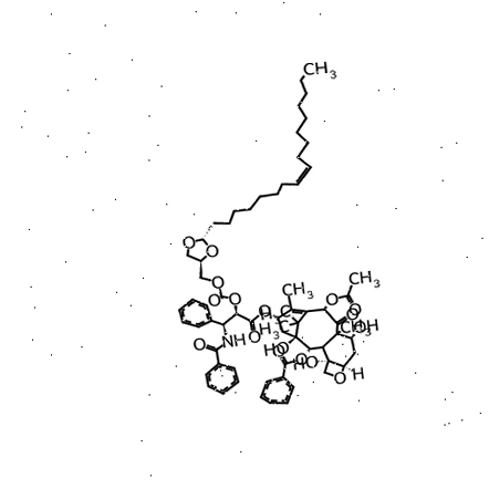 CCCCCCCC/C=C\CCCCCCC[C@H]1OC[C@H](COC(=O)O[C@@H](C(=O)O[C@H]2C[C@@]3(O)[C@@H](OC(=O)c4ccccc4)C4[C@]5(O)CO[C@@H]5C[C@H](O)[C@@]4(C)C(=O)[C@H](OC(C)=O)C(=C2C)C3(C)C)[C@@H](NC(=O)c2ccccc2)c2ccccc2)O1